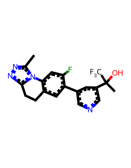 Cc1nnc2n1-c1cc(F)c(-c3cncc(C(C)(O)C(F)(F)F)c3)cc1CC2